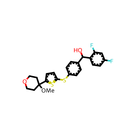 COC1(c2ccc(Sc3ccc(C(O)c4ccc(F)cc4F)cc3)s2)CCOCC1